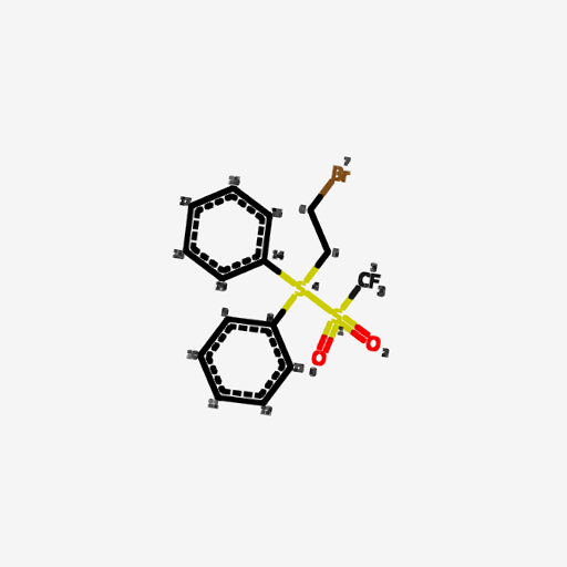 O=S(=O)(C(F)(F)F)S(CCBr)(c1ccccc1)c1ccccc1